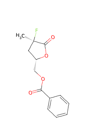 C[C@@]1(F)C[C@@H](COC(=O)c2ccccc2)OC1=O